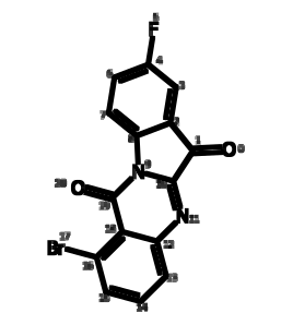 O=C1c2cc(F)ccc2-n2c1nc1cccc(Br)c1c2=O